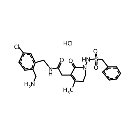 CC1=C(CC(=O)NCc2cc(Cl)ccc2CN)C(=O)N(NS(=O)(=O)Cc2ccccc2)CC1.Cl